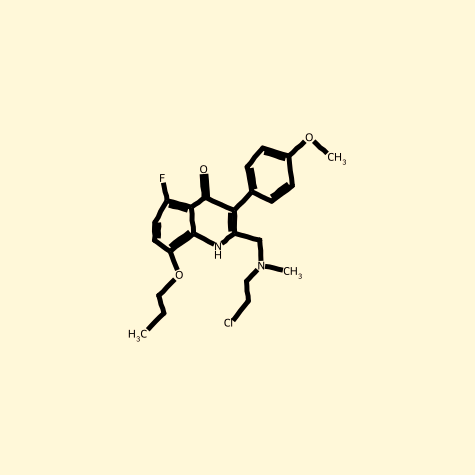 CCCOc1ccc(F)c2c(=O)c(-c3ccc(OC)cc3)c(CN(C)CCCl)[nH]c12